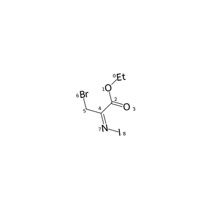 CCOC(=O)/C(CBr)=N\I